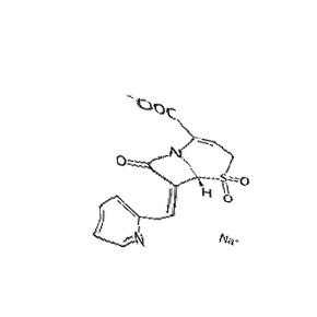 O=C([O-])C1=CCS(=O)(=O)[C@@H]2/C(=C/c3ccccn3)C(=O)N12.[Na+]